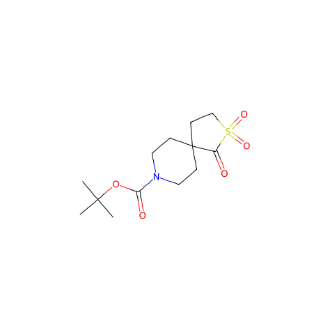 CC(C)(C)OC(=O)N1CCC2(CC1)CCS(=O)(=O)C2=O